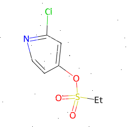 CCS(=O)(=O)Oc1ccnc(Cl)c1